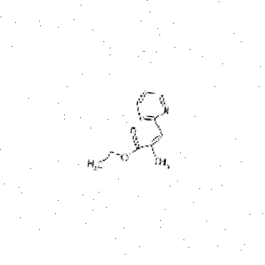 CCOC(=O)C(C)=Cc1ccccn1